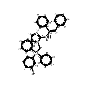 Fc1cccc([Si](Cn2ccnc2BC(=Cc2ccccc2)c2ccccc2)(c2ccccc2)c2ccccc2)c1